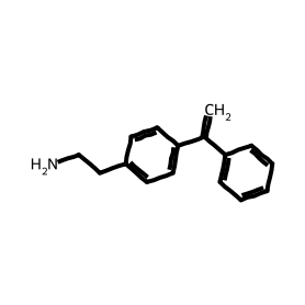 C=C(c1ccccc1)c1ccc(CCN)cc1